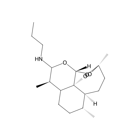 CCCNC1O[C@@H]2O[C@]3(C)CC[C@H]4[C@H](C)CCC([C@H]1C)[C@@]24OO3